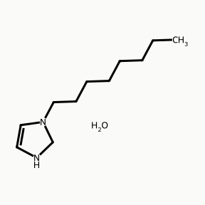 CCCCCCCCN1C=CNC1.O